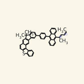 C/C=C\C=C(/C)c1c2ccccc2c(-c2ccc(-c3ccc4c(c3)-c3cc5c(ccc6sc7ccccc7c65)cc3C4(C)C)cc2)c2ccccc12